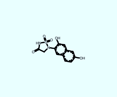 O=C1CN(c2cc3ccc(O)cc3cc2O)S(=O)(=O)N1